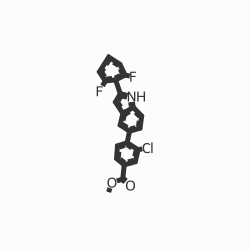 COC(=O)c1ccc(-c2ccc3[nH]c(-c4c(F)cccc4F)cc3c2)c(Cl)c1